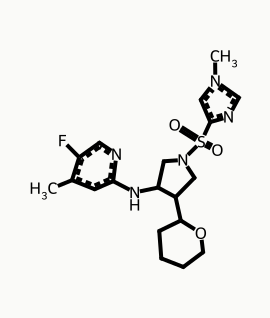 Cc1cc(NC2CN(S(=O)(=O)c3cn(C)cn3)CC2C2CCCCO2)ncc1F